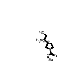 CC(C)(C)OC(=O)N1CC[C@H]([C@@H](N)CO)C1